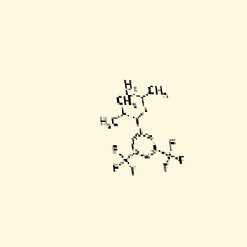 CC(C)CC(c1cc(C(F)(F)F)cc(C(F)(F)F)c1)C(C)C